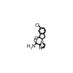 NC(=O)c1nccn1C1Cc2ccc(Cl)cc2C1=O